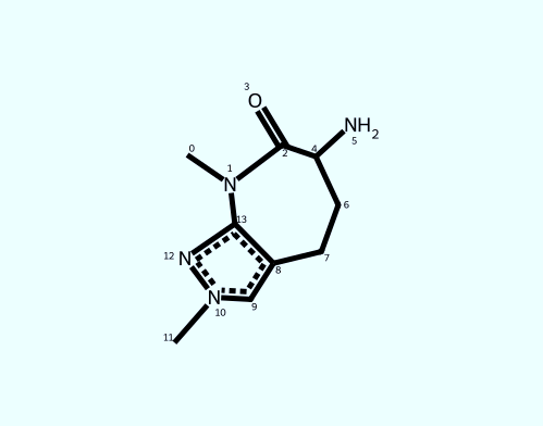 CN1C(=O)C(N)CCc2cn(C)nc21